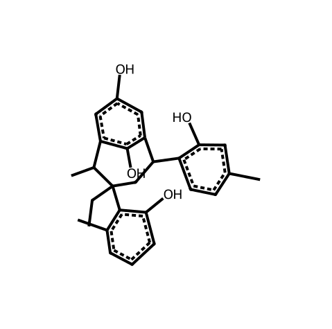 CCC1(c2c(C)cccc2O)CC(c2ccc(C)cc2O)c2cc(O)cc(c2O)C1C